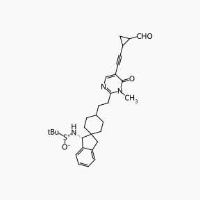 Cn1c(CCC2CCC3(CC2)Cc2ccccc2[C@@H]3N[S+]([O-])C(C)(C)C)ncc(C#CC2CC2C=O)c1=O